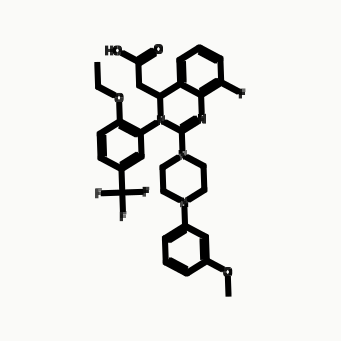 CCOc1ccc(C(F)(F)F)cc1N1C(N2CCN(c3cccc(OC)c3)CC2)=Nc2c(F)cccc2C1CC(=O)O